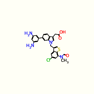 CN(C=O)c1cc(Cl)cc2c(Cn3cc(CC(=O)O)c4ccc(-c5cc(N)cc(N)c5)cc43)csc12